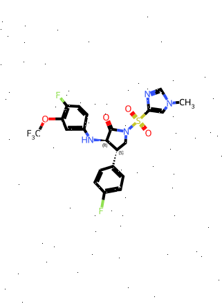 Cn1cnc(S(=O)(=O)N2C[C@H](c3ccc(F)cc3)[C@@H](Nc3ccc(F)c(OC(F)(F)F)c3)C2=O)c1